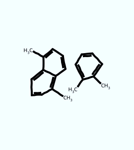 Cc1cccc2c(C)cccc12.Cc1ccccc1C